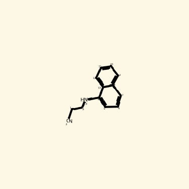 N#CCCNc1cccc2ccccc12